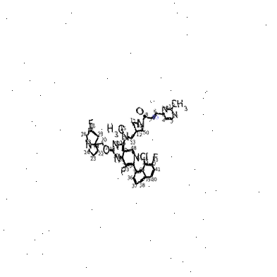 Cc1nccc(/C=C/C(=O)N2CC(CN(C)c3nc(OC[C@@]45CCCN4C[C@H](F)C5)nc4c(F)c(-c5cccc6ccc(F)c(Cl)c56)ncc34)C2)n1